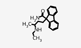 CCNC(C)CCC1(C(N)=O)c2ccccc2-c2ccccc21